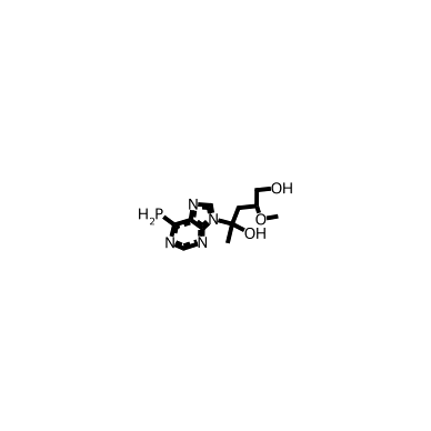 COC(CO)CC(C)(O)n1cnc2c(P)ncnc21